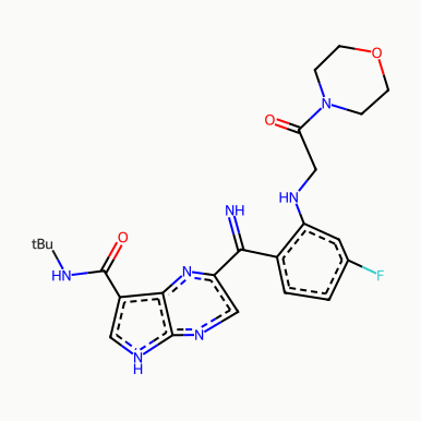 CC(C)(C)NC(=O)c1c[nH]c2ncc(C(=N)c3ccc(F)cc3NCC(=O)N3CCOCC3)nc12